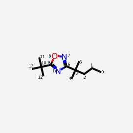 CCCC(C)(C)c1noc(C(C)(C)C)n1